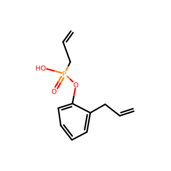 C=CCc1ccccc1OP(=O)(O)CC=C